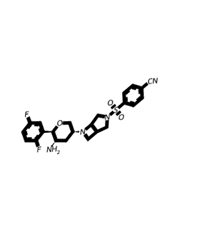 N#Cc1ccc(S(=O)(=O)N2CC3CN([C@H]4CO[C@H](c5cc(F)ccc5F)[C@@H](N)C4)C3C2)cc1